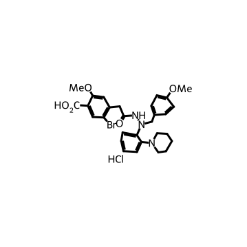 COc1ccc(CN(NC(=O)Cc2cc(OC)c(C(=O)O)cc2Br)c2ccccc2N2CCCCC2)cc1.Cl